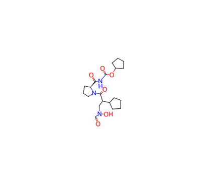 O=CN(O)CC(C(=O)N1CCC[C@H]1C(=O)NC(=O)OC1CCCC1)C1CCCC1